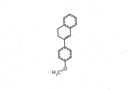 COc1ccc(C2=[C]c3ccccc3CC2)cc1